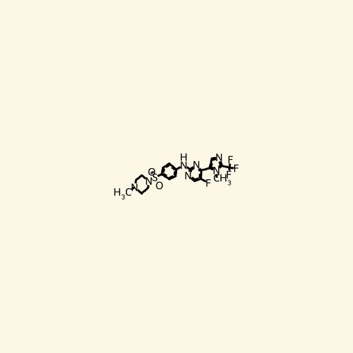 CN1CCN(S(=O)(=O)c2ccc(Nc3ncc(F)c(-c4cnc(C(F)(F)F)n4C)n3)cc2)CC1